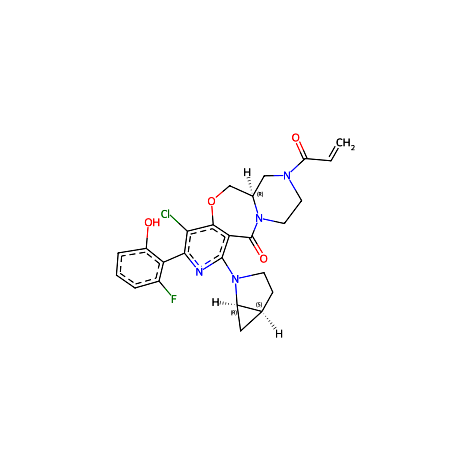 C=CC(=O)N1CCN2C(=O)c3c(N4CC[C@H]5C[C@H]54)nc(-c4c(O)cccc4F)c(Cl)c3OC[C@H]2C1